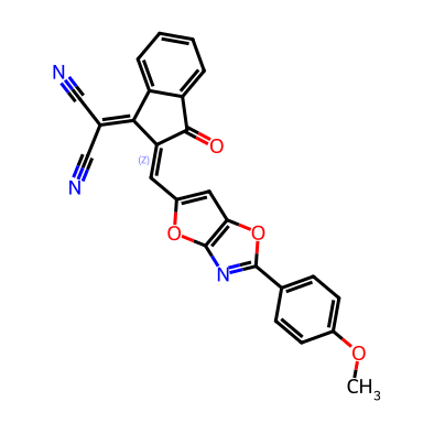 COc1ccc(-c2nc3oc(/C=C4\C(=O)c5ccccc5C4=C(C#N)C#N)cc3o2)cc1